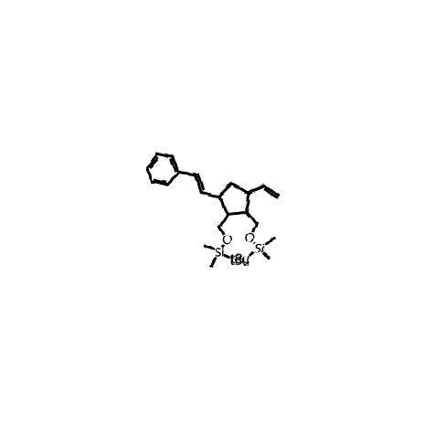 C=CC1CC(C=Cc2ccccc2)C(CO[Si](C)(C)C(C)(C)C)C1CO[Si](C)(C)C(C)(C)C